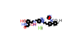 F.F.O=C(O)N(c1cc(CCCn2nnc3cc(CNC[C@H](O)c4ccc(O)c5[nH]c(=O)ccc45)ccc32)ccc1-c1ccccc1)C1CN2CCC1CC2